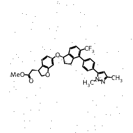 COC(=O)C[C@@H]1COc2cc(O[C@@H]3CCc4c3ccc(C(F)(F)F)c4-c3ccc(-c4cc(C)nn4C)cc3)ccc21